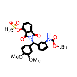 COc1ccc(C(c2cccc(NC(=O)OC(C)(C)C)c2)N2C(=O)c3cccc(OS(C)(=O)=O)c3C2=O)cc1OC